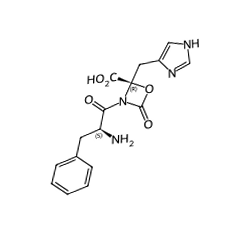 N[C@@H](Cc1ccccc1)C(=O)N1C(=O)O[C@]1(Cc1c[nH]cn1)C(=O)O